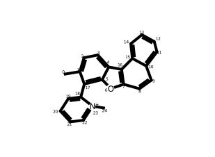 Cc1ccc2c(oc3ccc4ccccc4c32)c1-c1cccc[n+]1C